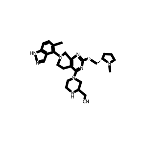 Cc1ccc2[nH]ncc2c1N1CCc2c(nc(OC[C@@H]3CCCN3C)nc2N2CCNC(CC#N)C2)C1